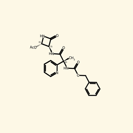 CC(=O)O[C@@H]1NC(=O)[C@H]1NC(=O)[C@](C)(NC(=O)OCc1ccccc1)c1ccccn1